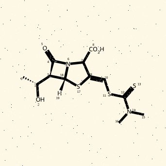 C[C@@H](O)[C@H]1C(=O)N2C(C(=O)O)C(=CSC(=S)N(C)C)S[C@H]12